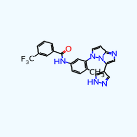 Cc1ccc(NC(=O)c2cccc(C(F)(F)F)c2)cc1-n1ccc2ncc(-c3cn[nH]c3)n21